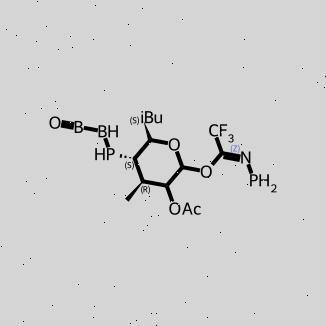 CC[C@H](C)C1OC(O/C(=N\P)C(F)(F)F)C(OC(C)=O)[C@@H](C)[C@@H]1PBB=O